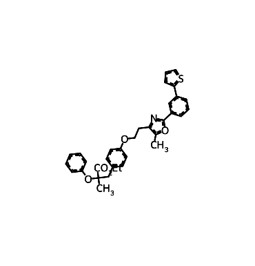 CCOC(=O)C(C)(Cc1ccc(OCCc2nc(-c3cccc(-c4cccs4)c3)oc2C)cc1)Oc1ccccc1